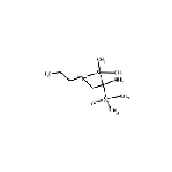 CCCCCC(N)([Si](C)(C)C)[Si](C)(C)C